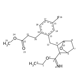 CCOC(=N)C1C2CCC(O2)C1Cc1cc(F)ccc1CCC(=O)OC